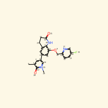 Cc1cc(-c2cc3c(c(OCc4ccc(F)cn4)c2)NC(=O)CC3)cn(C)c1=O